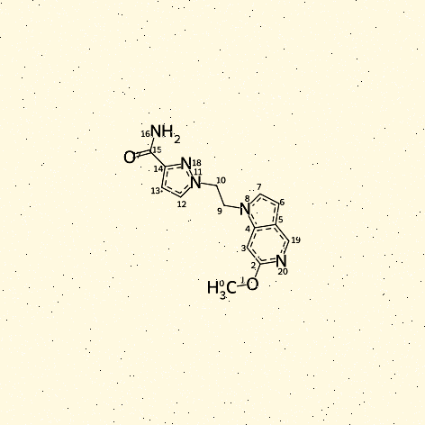 COc1cc2c(ccn2CCn2c[c]c(C(N)=O)n2)cn1